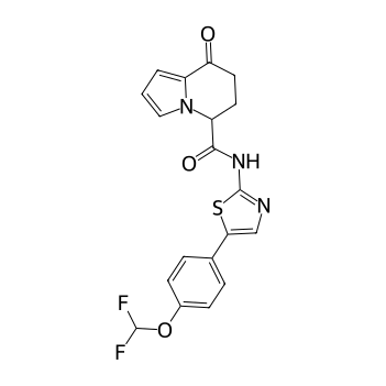 O=C1CCC(C(=O)Nc2ncc(-c3ccc(OC(F)F)cc3)s2)n2cccc21